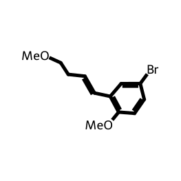 COCC/C=C/c1cc(Br)ccc1OC